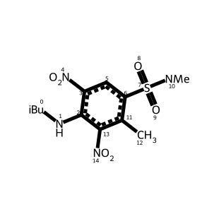 CCC(C)Nc1c([N+](=O)[O-])cc(S(=O)(=O)NC)c(C)c1[N+](=O)[O-]